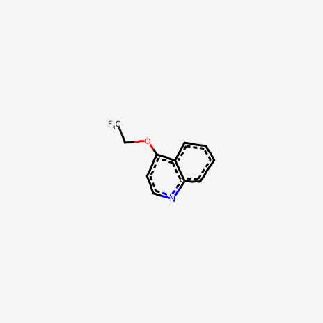 FC(F)(F)COc1ccnc2ccccc12